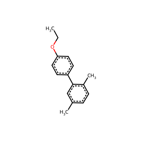 CCOc1ccc(-c2cc(C)ccc2C)cc1